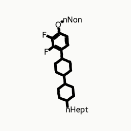 CCCCCCCCCOc1ccc(C2CCC(C3CCC(CCCCCCC)CC3)CC2)c(F)c1F